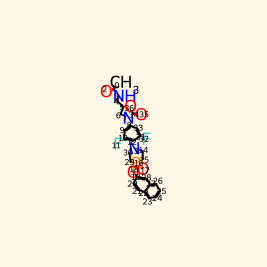 CC(=O)NCC1CN(c2cc(F)c(N3CCP(=O)(Oc4ccc5ccccc5c4)CC3)c(F)c2)C(=O)O1